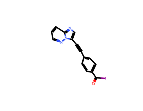 O=C(I)c1ccc(C#Cc2cnc3cccnn23)cc1